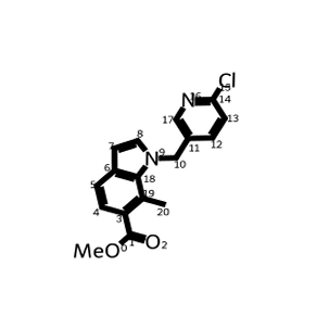 COC(=O)c1ccc2ccn(Cc3ccc(Cl)nc3)c2c1C